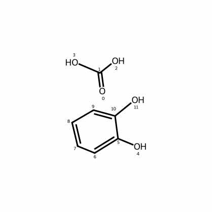 O=C(O)O.Oc1ccccc1O